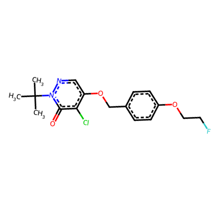 CC(C)(C)n1ncc(OCc2ccc(OCCF)cc2)c(Cl)c1=O